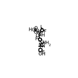 CC1([C@@H]2CC[C@@H](O)[C@H](F)C2)CN=C(N)C(c2ccc(C(=O)N[C@H](COP(=O)(O)O)c3cc(F)cc(I)c3)c(F)c2)=N1